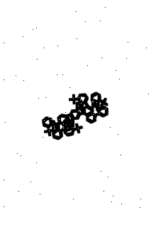 CC(C)(C)c1ccccc1N(c1ccccc1-c1ccccc1)c1ccc2c3cc4c(cc3n3c5c(C(C)(C)C)cccc5c1c23)c1ccc(N(c2ccccc2-c2ccccc2)c2ccccc2C(C)(C)C)c2c3cccc(C(C)(C)C)c3n4c12